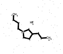 CCCCN1CCC(CCC)C1.F